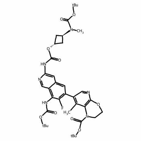 Cc1c(-c2cc3cc(NC(=O)O[C@H]4C[C@H](N(C)C(=O)OC(C)(C)C)C4)ncc3c(NC(=O)OC(C)(C)C)c2F)cnc2c1N(C(=O)OC(C)(C)C)CCO2